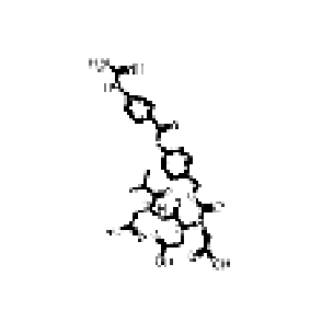 CC(C)C(=O)[C@H](CC(=O)O)NC(=O)[C@H](CC(=O)O)N(CC(=O)O)C(=O)OCc1ccc(OC(=O)c2ccc(NC(=N)N)cc2)cc1